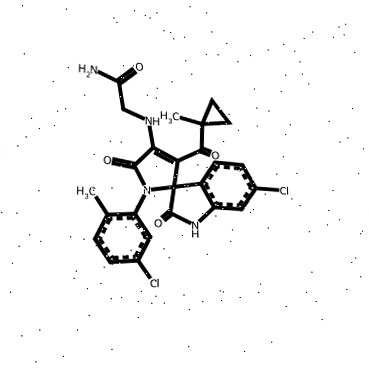 Cc1ccc(Cl)cc1N1C(=O)C(NCC(N)=O)=C(C(=O)C2(C)CC2)C12C(=O)Nc1cc(Cl)ccc12